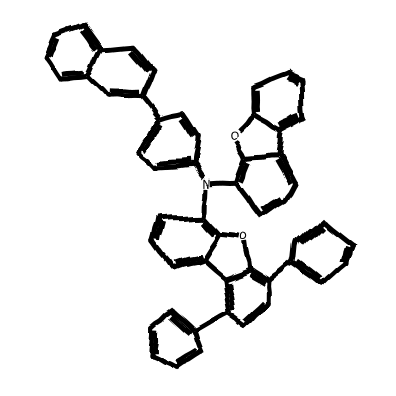 c1ccc(-c2ccc(-c3ccccc3)c3c2oc2c(N(c4ccc(-c5ccc6ccccc6c5)cc4)c4cccc5c4oc4ccccc45)cccc23)cc1